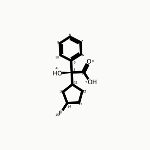 O=C(O)[C@@](O)(c1ccccc1)C1CCC(F)C1